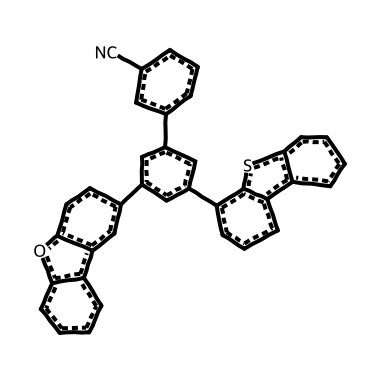 N#Cc1cccc(-c2cc(-c3ccc4oc5ccccc5c4c3)cc(-c3cccc4c3sc3ccccc34)c2)c1